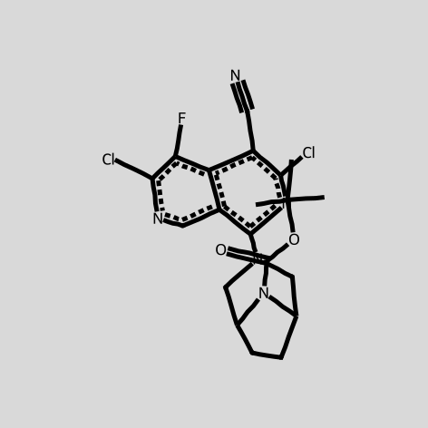 CC(C)(C)OC(=O)N1C2CCC1CN(c1nc(Cl)c(C#N)c3c(F)c(Cl)ncc13)C2